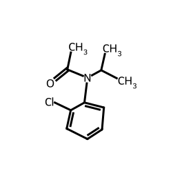 CC(=O)N(c1ccccc1Cl)C(C)C